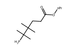 CCCOC(=O)CCC(C)(C)C(C)(C)P